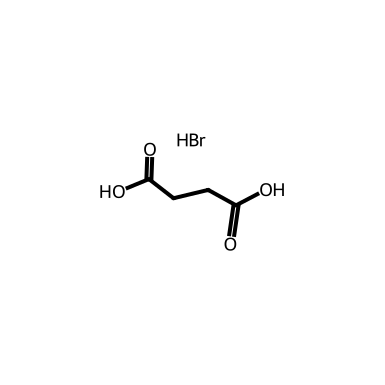 Br.O=C(O)CCC(=O)O